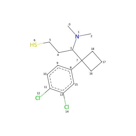 CN(C)C(CCS)C1(c2ccc(Cl)c(Cl)c2)CCC1